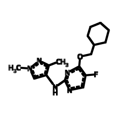 Cc1nn(C)cc1Nc1ncc(F)c(OCC2CCCCC2)n1